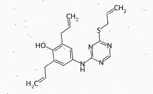 C=CCSc1ncnc(Nc2cc(CC=C)c(O)c(CC=C)c2)n1